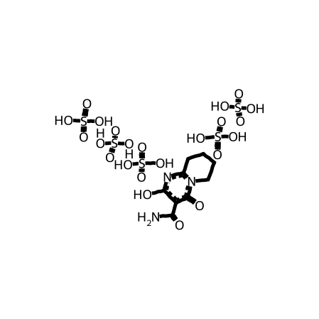 NC(=O)c1c(O)nc2n(c1=O)CCCC2.O=S(=O)(O)O.O=S(=O)(O)O.O=S(=O)(O)O.O=S(=O)(O)O.O=S(=O)(O)O